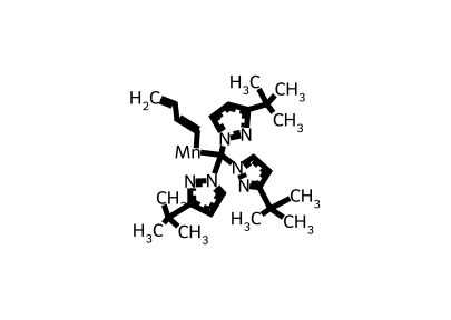 C=CC=[CH][Mn][C](n1ccc(C(C)(C)C)n1)(n1ccc(C(C)(C)C)n1)n1ccc(C(C)(C)C)n1